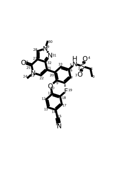 CCS(=O)(=O)Nc1ccc(Oc2ccc(C#N)cc2F)c(-c2cn(C)c(=O)c3cn(C)nc23)c1